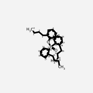 CCCCc1ccccc1OP(=O)(c1ccccc1CCCC)c1ccccc1CCCC